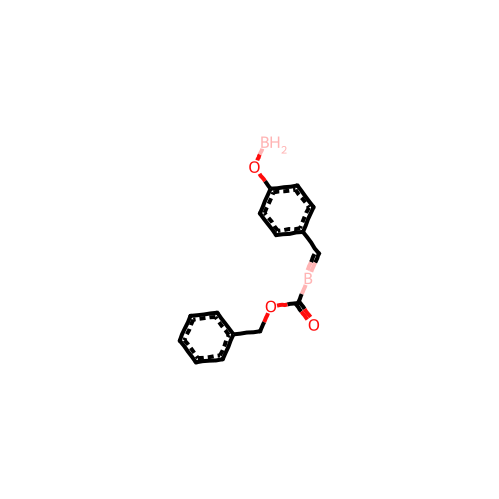 BOc1ccc(C=BC(=O)OCc2ccccc2)cc1